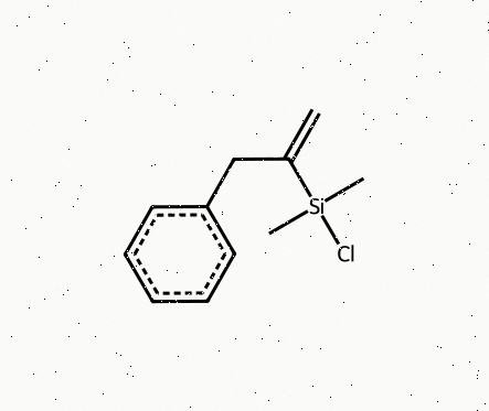 C=C(Cc1ccccc1)[Si](C)(C)Cl